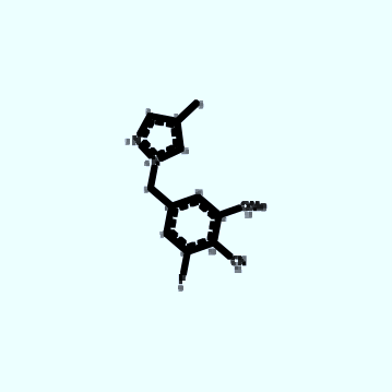 [CH2]c1cnn(Cc2cc(F)c(C#N)c(OC)c2)c1